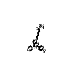 COc1ccc(-c2nc(N3CCOCC3)c3ncn(CCCCCC(=O)NO)c3n2)cn1